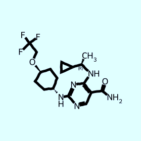 C[C@@H](Nc1nc(N[C@H]2CC[C@H](OCC(F)(F)F)CC2)ncc1C(N)=O)C1CC1